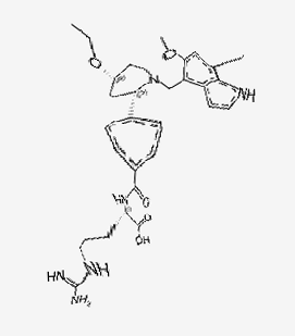 CCO[C@@H]1CCN(Cc2c(OC)cc(C)c3[nH]ccc23)[C@H](c2ccc(C(=O)N[C@@H](CCCNC(=N)N)C(=O)O)cc2)C1